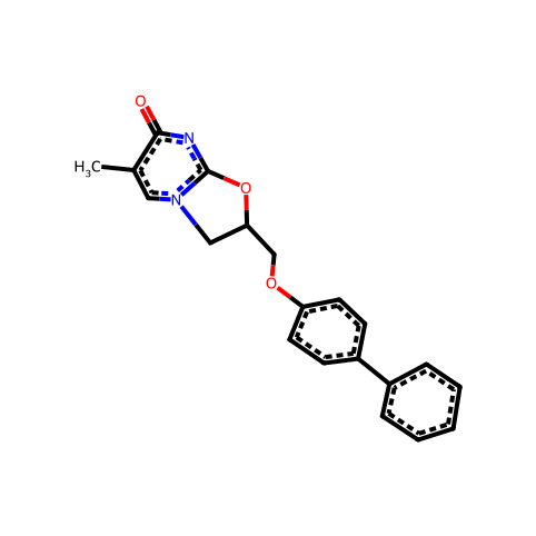 Cc1cn2c(nc1=O)OC(COc1ccc(-c3ccccc3)cc1)C2